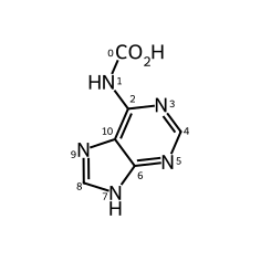 O=C(O)Nc1ncnc2[nH]cnc12